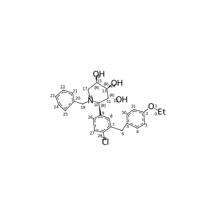 CCOc1ccc(Cc2cc([C@@H]3[C@@H](O)[C@H](O)[C@H](O)CN3Cc3ccccc3)ccc2Cl)cc1